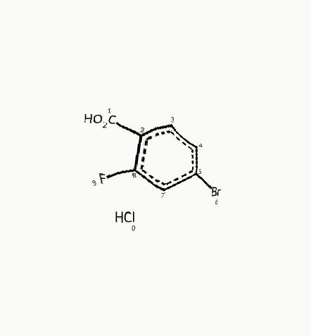 Cl.O=C(O)c1ccc(Br)cc1F